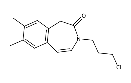 Cc1cc2c(cc1C)CC(=O)N(CCCCl)C=C2